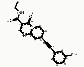 CCNC(=O)c1cnc2cc(C#Cc3cccc(F)c3)ccn2c1=O